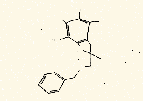 Cc1c(C)c2c(c(C)c1N)CC(C)(COCc1ccccc1)O2